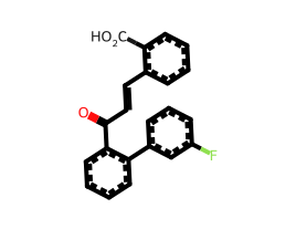 O=C(O)c1ccccc1C=CC(=O)c1ccccc1-c1cccc(F)c1